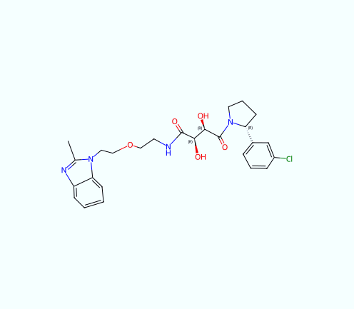 Cc1nc2ccccc2n1CCOCCNC(=O)[C@H](O)[C@@H](O)C(=O)N1CCC[C@@H]1c1cccc(Cl)c1